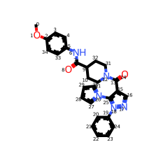 COc1ccc(NC(=O)C2CCN(C(=O)c3cnn(-c4ccccc4)c3-n3cccc3)CC2)cc1